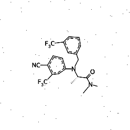 C[C@@H](C(=O)N(C)C)N(Cc1cccc(C(F)(F)F)c1)c1ccc(C#N)c(C(F)(F)F)c1